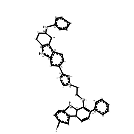 Fc1ccc2c(c1)C1C=CC(c3ccccc3)=C(NCCn3cnc(-c4ccc5c6c([nH]c5c4)CCC(Nc4ccccc4)C6)n3)C1N2